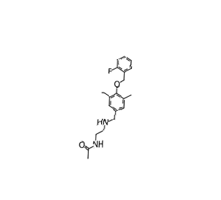 CC(=O)NCCNCc1cc(C)c(OCc2ccccc2F)c(C)c1